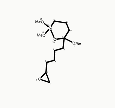 COC1(CCCCC2CO2)CCC[Si](OC)(OC)O1